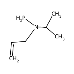 C=CCN(P)C(C)C